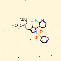 CC(C)(C)CN(Cc1cn(S(=O)(=O)c2cccnc2)c(-c2cccnc2F)c1F)C(=O)O